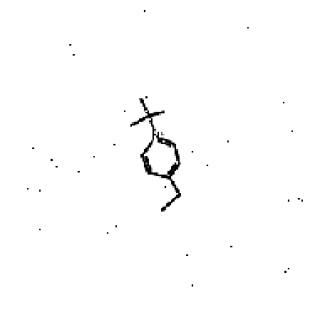 CCc1cc[n+](C(C)(C)C)cc1